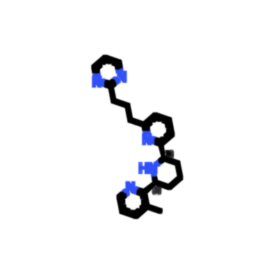 Cc1cccnc1[C@@H]1CCC[C@H](c2cccc(CCCc3ncccn3)n2)N1